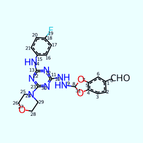 O=Cc1ccc2c(c1)OC(NNc1nc(Nc3ccc(F)cc3)nc(N3CCOCC3)n1)O2